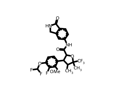 COc1c(C2C(C(=O)Nc3ccc4c(c3)CNC4=O)OC(C)(C(F)(F)F)C2C)ccc(OC(F)F)c1F